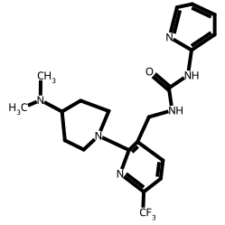 CN(C)C1CCN(c2nc(C(F)(F)F)ccc2CNC(=O)Nc2ccccn2)CC1